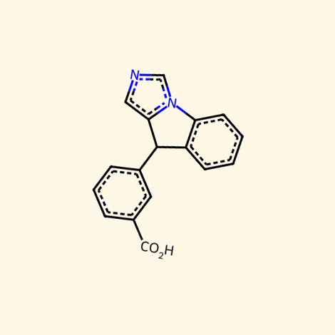 O=C(O)c1cccc(C2c3ccccc3-n3cncc32)c1